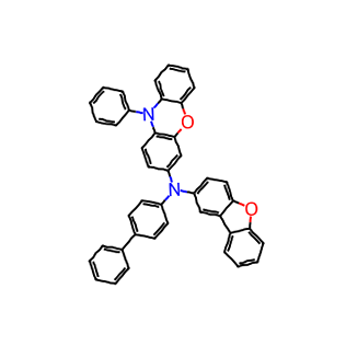 c1ccc(-c2ccc(N(c3ccc4c(c3)Oc3ccccc3N4c3ccccc3)c3ccc4oc5ccccc5c4c3)cc2)cc1